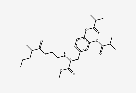 CCCC(C)C(=O)OCCN[C@@H](Cc1ccc(OC(=O)C(C)C)c(OC(=O)C(C)C)c1)C(=O)OC